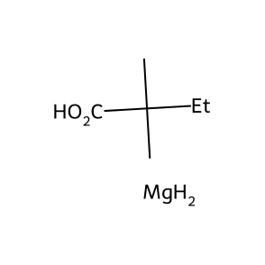 CCC(C)(C)C(=O)O.[MgH2]